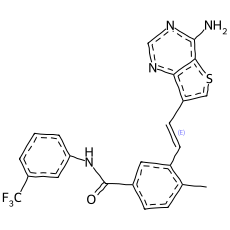 Cc1ccc(C(=O)Nc2cccc(C(F)(F)F)c2)cc1/C=C/c1csc2c(N)ncnc12